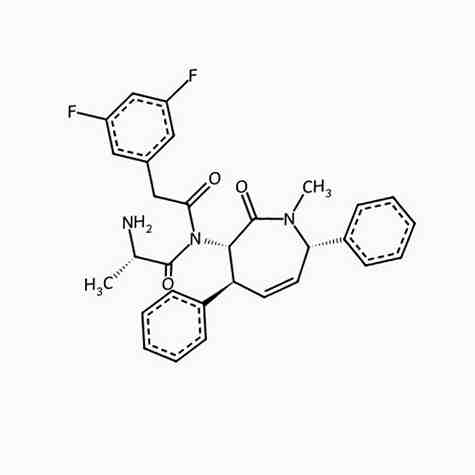 C[C@H](N)C(=O)N(C(=O)Cc1cc(F)cc(F)c1)[C@@H]1C(=O)N(C)[C@H](c2ccccc2)C=C[C@H]1c1ccccc1